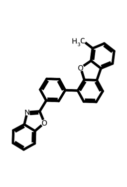 Cc1cccc2c1oc1c(-c3cccc(-c4nc5ccccc5o4)c3)cccc12